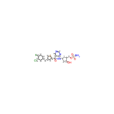 NS(=O)(=O)OCC1C[C@@H](Nc2ncncc2C(=O)c2cc(Cc3ccc(F)c(Cl)c3)cs2)C[C@@H]1O